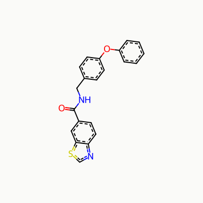 O=C(NCc1ccc(Oc2ccccc2)cc1)c1ccc2ncsc2c1